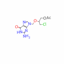 CC(=O)OCC(CCl)OCn1cnc2c(=O)[nH]c(N)nc21